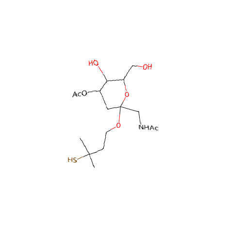 CC(=O)NCC1(OCCC(C)(C)S)CC(OC(C)=O)C(O)C(CO)O1